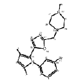 Cc1[c]c(C)n(-c2cccc(Br)c2)c1-c1nnc(CN2CCN(C)CC2)o1